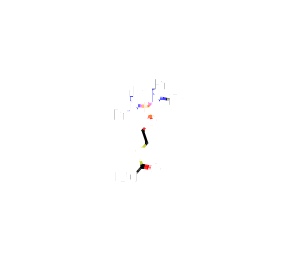 CC(C)N(C(C)C)P(OCCSC(=O)C(C)(C)C)N(C(C)C)C(C)C